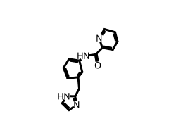 O=C(Nc1cccc(Cc2ncc[nH]2)c1)c1ccccn1